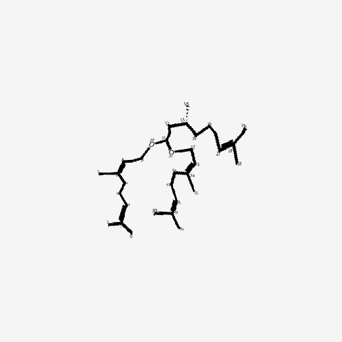 CC(C)=CCC/C(C)=C\COC(C[C@H](C)CCC=C(C)C)OC/C=C(/C)CCC=C(C)C